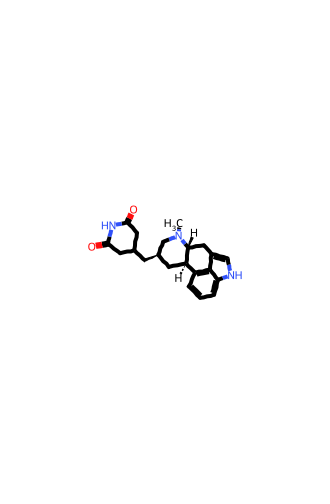 CN1C[C@H](CC2CC(=O)NC(=O)C2)C[C@@H]2c3cccc4[nH]cc(c34)C[C@H]21